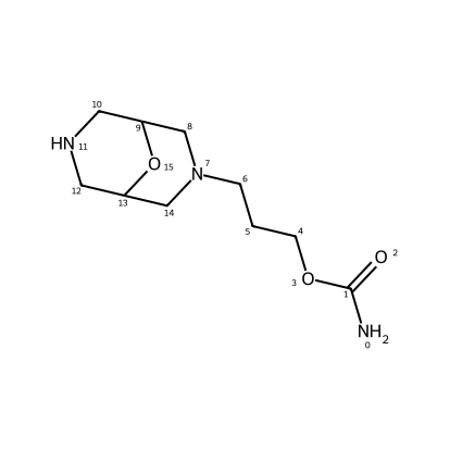 NC(=O)OCCCN1CC2CNCC(C1)O2